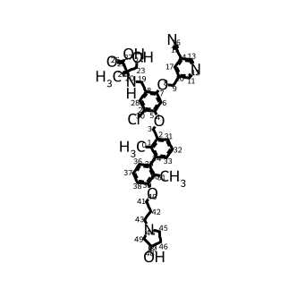 Cc1c(COc2cc(OCc3cncc(C#N)c3)c(CNC(C)(CO)C(=O)O)cc2Cl)cccc1-c1cccc(OCCCN2CC[C@@H](O)C2)c1C